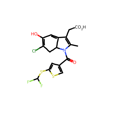 CC1=C(CC(=O)O)C2=CC(O)=C(Cl)CC2N1C(=O)c1csc(SC(F)F)c1